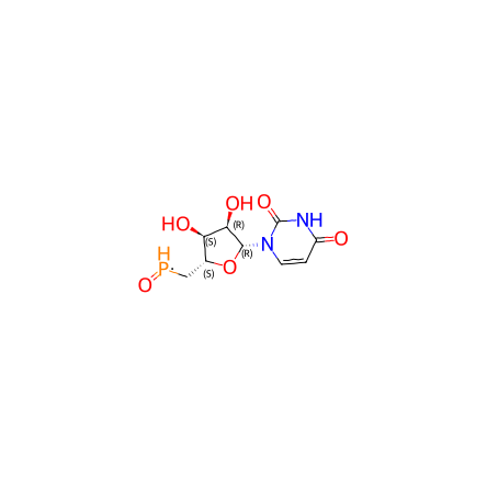 O=[PH]C[C@H]1O[C@@H](n2ccc(=O)[nH]c2=O)[C@H](O)[C@@H]1O